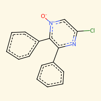 [O-][n+]1cc(Cl)nc(-c2ccccc2)c1-c1ccccc1